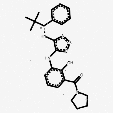 CC(C)(C)[C@@H](Nc1nsnc1Nc1cccc(C(=O)N2CCCC2)c1O)c1ccccc1